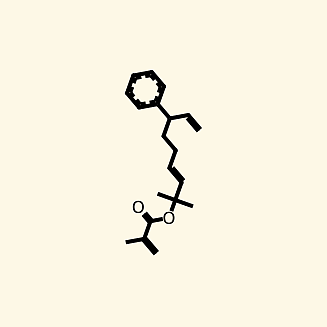 C=CC(CCC=CC(C)(C)OC(=O)C(=C)C)c1ccccc1